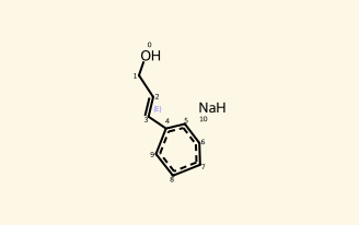 OC/C=C/c1ccccc1.[NaH]